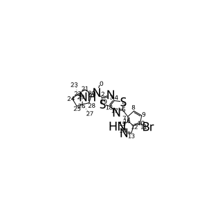 CN(c1nc2sc(-c3ccc(Br)c4cn[nH]c34)nc2s1)C1C[C@]2(C)CC[C@](C)(C1)N2